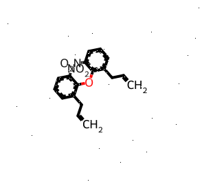 C=CCc1cccc([N+](=O)[O-])c1Oc1c(CC=C)cccc1[N+](=O)[O-]